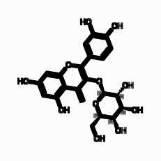 C=C1C(O[C@@H]2O[C@H](CO)[C@H](O)[C@H](O)[C@H]2O)=C(c2ccc(O)c(O)c2)Oc2cc(O)cc(O)c21